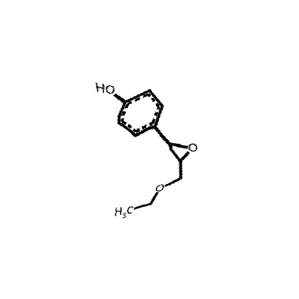 CCOCC1OC1c1ccc(O)cc1